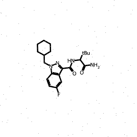 CC(C)(C)C(NC(=O)c1nn(CC2CCCCC2)c2ccc(F)cc12)C(N)=O